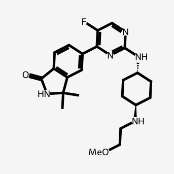 COCCN[C@H]1CC[C@H](Nc2ncc(F)c(-c3ccc4c(c3)C(C)(C)NC4=O)n2)CC1